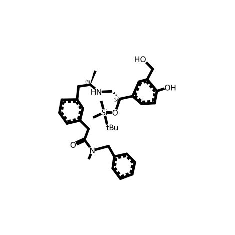 C[C@H](Cc1cccc(CC(=O)N(C)Cc2ccccc2)c1)NC[C@@H](O[Si](C)(C)C(C)(C)C)c1ccc(O)c(CO)c1